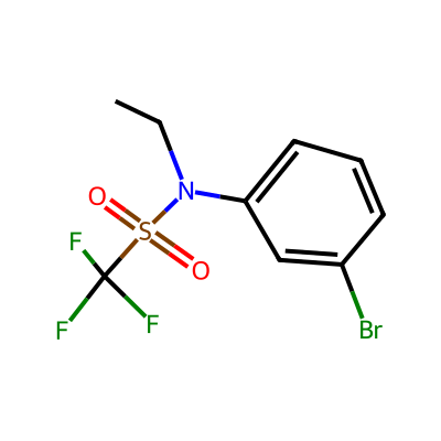 CCN(c1cccc(Br)c1)S(=O)(=O)C(F)(F)F